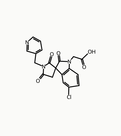 O=C(O)CN1C(=O)C2(CC(=O)N(Cc3cccnc3)C2=O)c2cc(Cl)ccc21